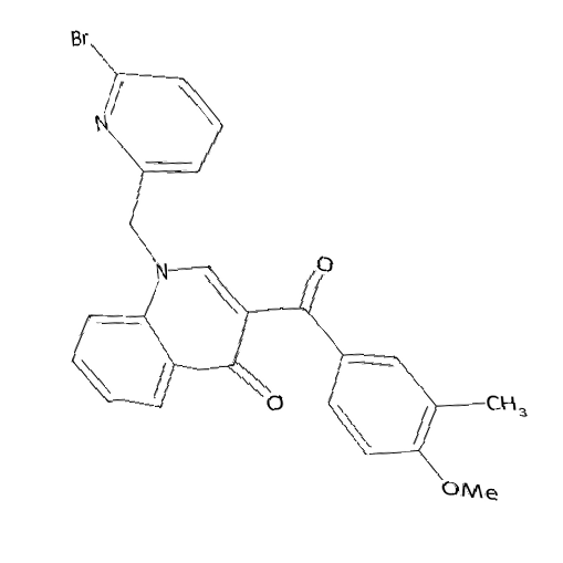 COc1ccc(C(=O)c2cn(Cc3cccc(Br)n3)c3ccccc3c2=O)cc1C